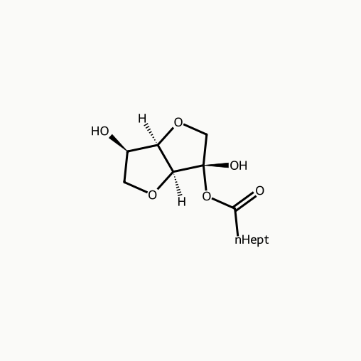 CCCCCCCC(=O)O[C@@]1(O)CO[C@@H]2[C@H](O)CO[C@@H]21